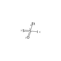 CCS(=O)(=S)I